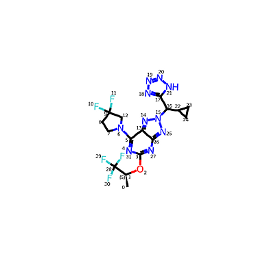 C[C@H](Oc1nc(N2CCC(F)(F)C2)c2nn(C(c3nnn[nH]3)C3CC3)nc2n1)C(F)(F)F